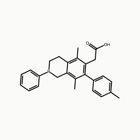 Cc1ccc(-c2c(C)c3c(c(C)c2CC(=O)O)CCN(c2ccccc2)C3)cc1